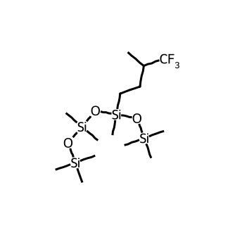 CC(CC[Si](C)(O[Si](C)(C)C)O[Si](C)(C)O[Si](C)(C)C)C(F)(F)F